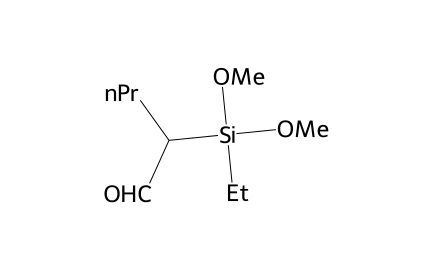 CCCC(C=O)[Si](CC)(OC)OC